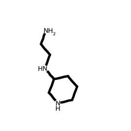 NCCNC1CCCNC1